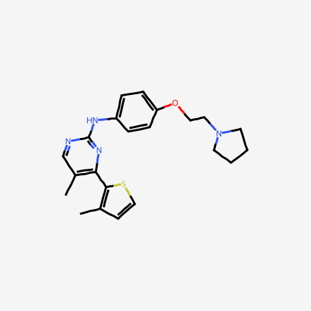 Cc1cnc(Nc2ccc(OCCN3CCCC3)cc2)nc1-c1sccc1C